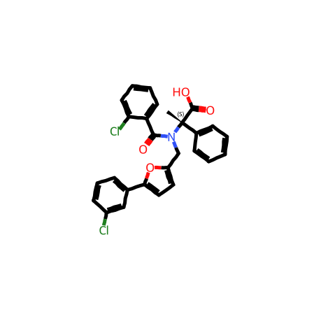 C[C@@](C(=O)O)(c1ccccc1)N(Cc1ccc(-c2cccc(Cl)c2)o1)C(=O)c1ccccc1Cl